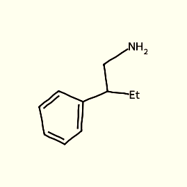 CCC(CN)c1ccccc1